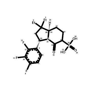 CCC1(CC)C[C@@H](c2ccc(F)c(F)c2F)N2C(=O)C(P(=O)(O)O)CC[C@@H]21